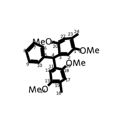 COc1cc(C(c2ccccc2)c2cc(OC)c(C)cc2OC)c(OC)cc1C